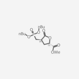 CCCCOP(=O)(C[C@@H]1C[C@@H](C(=O)OC)OC1=O)OCCCC